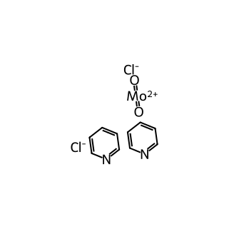 [Cl-].[Cl-].[O]=[Mo+2]=[O].c1ccncc1.c1ccncc1